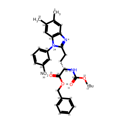 Cc1cc2nc(CC[C@H](NC(=O)OC(C)(C)C)C(=O)OCc3ccccc3)n(-c3cccc([N+](=O)[O-])c3)c2cc1C